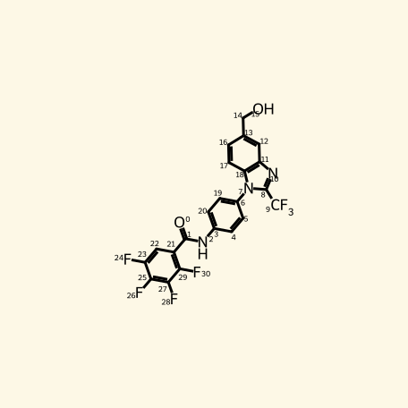 O=C(Nc1ccc(-n2c(C(F)(F)F)nc3cc(CO)ccc32)cc1)c1cc(F)c(F)c(F)c1F